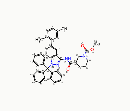 Cc1ccc(C#N)cc1-c1ccc2c(c1)c(NC(=O)[C@@H]1CCCN(C(=O)OC(C)(C)C)C1)nn2C(c1ccccc1)(c1ccccc1)c1ccccc1